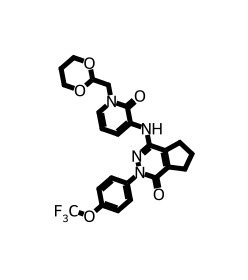 O=c1c(Nc2nn(-c3ccc(OC(F)(F)F)cc3)c(=O)c3c2CCC3)cccn1CC1OCCCO1